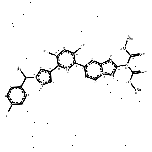 CCC(c1ccc(F)cc1)n1cc(-c2nc(-c3ccn4nc(N(C(=O)OC(C)(C)C)C(=O)OC(C)(C)C)nc4c3)c(F)cc2F)cn1